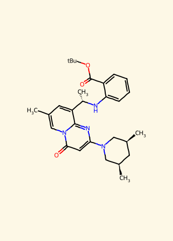 Cc1cc([C@H](C)Nc2ccccc2C(=O)OC(C)(C)C)c2nc(N3C[C@H](C)C[C@H](C)C3)cc(=O)n2c1